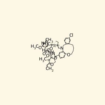 C=C[C@@H]1OCC[C@@H](S(=O)(=NC(=O)c2ccc3c(c2)N(C[C@@H]2CC[C@H]2[C@H](C)OC)Cc2ccc(Cl)cc2CCCCO3)NC(=O)c2cn(C)nc2OC)[C@H]1C